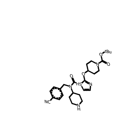 CC(C)(C)OC(=O)N1CCC(OC2=NC=C[SH]2C(=O)N(Cc2ccc(C#N)cc2)C2CCNCC2)CC1